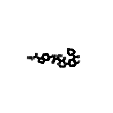 O=C(O)NC1CCc2cc(NC(=O)C(O)C3OCCN(c4ccc(F)c(C(=O)N5CCOCC5)c4)C3=O)ccc21